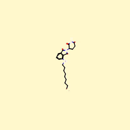 O=C1CCC(N2C(=O)c3cccc(NCCCCCCCCCO)c3C2=O)C(=O)N1